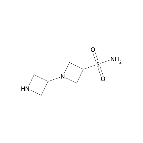 NS(=O)(=O)C1CN(C2CNC2)C1